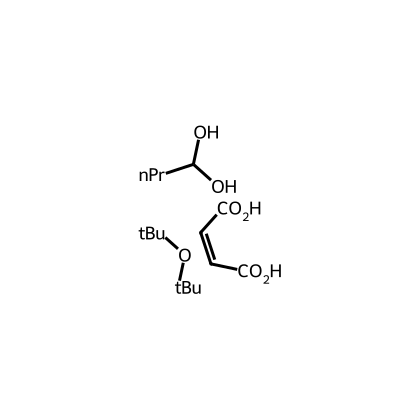 CC(C)(C)OC(C)(C)C.CCCC(O)O.O=C(O)/C=C\C(=O)O